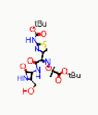 CC(C)(C)OC(=O)NC1=NC(/C(=N/OC(C)(C)C(=O)OC(C)(C)C)C(=O)N[C@@H]2C(=O)N[C@@H]2CO)CS1